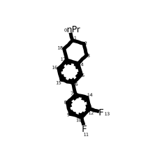 CCCC1CCc2cc(-c3ccc(F)c(F)c3)ccc2C1